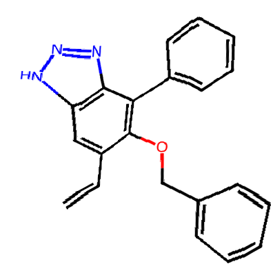 C=Cc1cc2[nH]nnc2c(-c2ccccc2)c1OCc1ccccc1